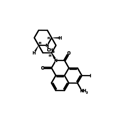 CN1[C@@H]2CCC[C@H]1C[C@@H](N1C(=O)c3cccc4c(N)c(I)cc(c34)C1=O)C2